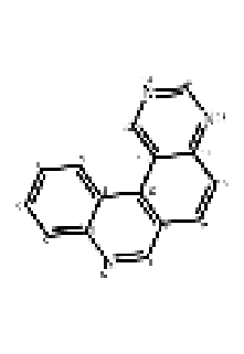 c1ccc2c(c1)ncc1ccc3ncncc3c12